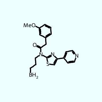 BCCCN(C(=O)Cc1cccc(OC)c1)c1nc(-c2ccncc2)cs1